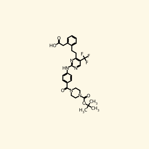 CC(C)(C)OC(=O)N1CCN(C(=O)c2ccc(Nc3ncc(C(F)(F)F)c(CCc4ccccc4CC(=O)O)n3)cc2)CC1